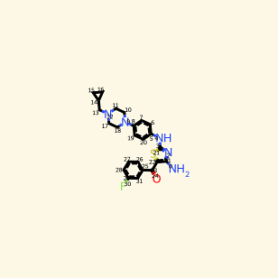 Nc1nc(Nc2ccc(N3CCN(CC4CC4)CC3)cc2)sc1C(=O)c1cccc(F)c1